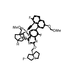 COCOc1cc(-c2ccc3c(N4C[C@@H]5CC[C@](COC)(C4)N5C(=O)O)nc(OC[C@@]45CCCN4C[C@H](F)C5)nc3c2F)c2c(C#C[Si](C(C)C)(C(C)C)C(C)C)c(F)ccc2c1